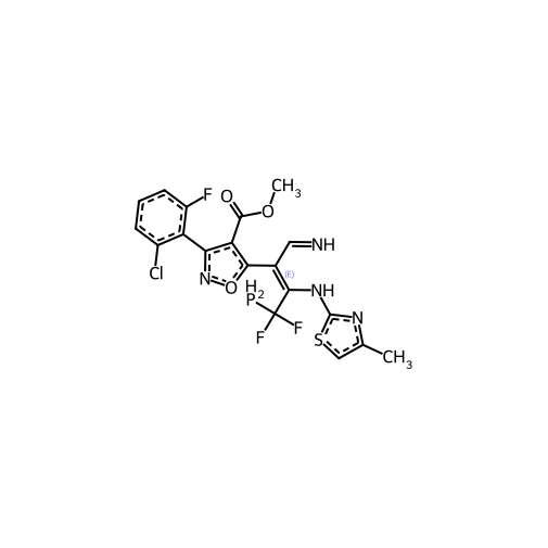 COC(=O)c1c(-c2c(F)cccc2Cl)noc1/C(C=N)=C(/Nc1nc(C)cs1)C(F)(F)P